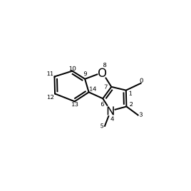 Cc1c(C)n(C)c2c1oc1ccccc12